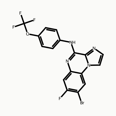 Fc1cc2nc(Nc3ccc(OC(F)(F)F)cc3)c3nccn3c2cc1Br